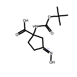 CC(C)(C)OC(=O)NC1(C(=O)O)CC/C(=N\O)C1